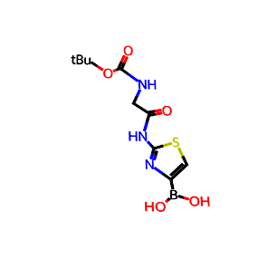 CC(C)(C)OC(=O)NCC(=O)Nc1nc(B(O)O)cs1